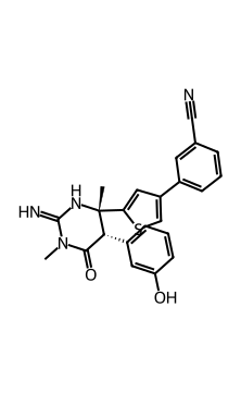 CN1C(=N)N[C@](C)(c2cc(-c3cccc(C#N)c3)cs2)[C@H](c2cccc(O)c2)C1=O